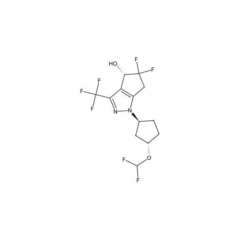 O[C@H]1c2c(C(F)(F)F)nn([C@H]3CC[C@H](OC(F)F)C3)c2CC1(F)F